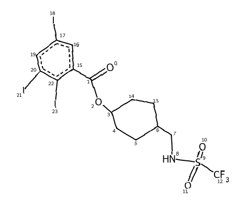 O=C(OC1CCC(CNS(=O)(=O)C(F)(F)F)CC1)c1cc(I)cc(I)c1I